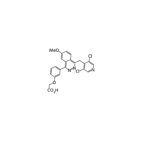 COc1ccc2c(Cc3c(Cl)cncc3Cl)nnc(-c3cccc(OCC(=O)O)c3)c2c1